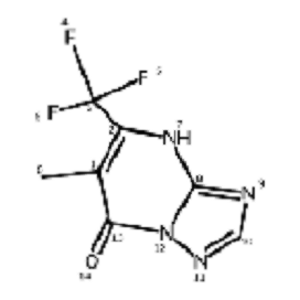 Cc1c(C(F)(F)F)[nH]c2ncnn2c1=O